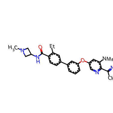 CCc1cc(-c2cccc(Oc3cnc(C(C)=N)c(NC)c3)c2)ccc1C(=O)NC1CN(C)C1